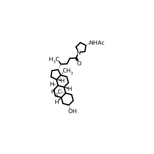 CC(=O)N[C@H]1CCN(C(=O)CCC(C)[C@H]2CC[C@H]3[C@@H]4CC[C@H]5C[C@@H](O)CC[C@]5(C)[C@H]4CC[C@]23C)C1